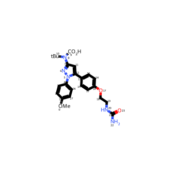 COc1ccc(-n2nc(N(C(=O)O)C(C)(C)C)cc2-c2ccc(OCCNC(N)=O)cc2)cc1